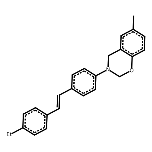 CCc1ccc(/C=C/c2ccc(N3COc4ccc(C)cc4C3)cc2)cc1